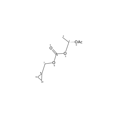 CC(=O)O[C@@H](C)OC(=O)OCC1CC1